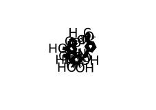 CO[N+](=O)c1cccc(C(=O)N[C@H]2[C@H](O)[C@@H](O)[C@@H](O)[C@@H]3NC(=O)c4c(cc5c(c4O)OCO5)[C@@H]23)c1